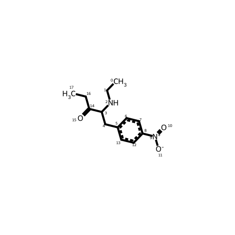 CCNC(Cc1ccc([N+](=O)[O-])cc1)C(=O)CC